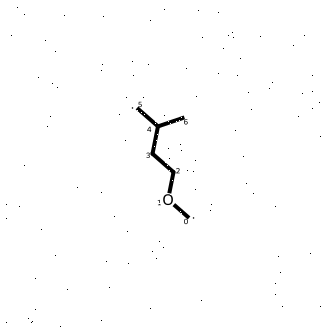 [CH2]OCCC([CH2])C